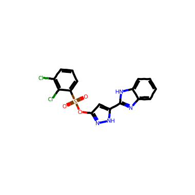 O=S(=O)(Oc1cc(-c2nc3ccccc3[nH]2)[nH]n1)c1cccc(Cl)c1Cl